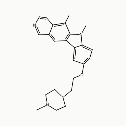 Cc1c2ccncc2cc2c3cc(OCCN4CCN(C)CC4)ccc3n(C)c12